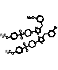 COc1cccc(Cc2csc(N3CCN(S(=O)(=O)c4ccc(OC(F)(F)F)cc4)CC3)n2)c1.O=S(=O)(c1ccc(OC(F)(F)F)cc1)N1CCN(c2nc(Cc3cccc(Br)c3)cs2)CC1